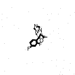 C[C@@H]1[C@@H](C)O[C@@]1(Cn1cncn1)c1ccc(F)cc1F